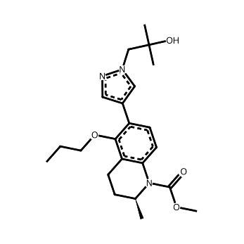 CCCOc1c(-c2cnn(CC(C)(C)O)c2)ccc2c1CC[C@H](C)N2C(=O)OC